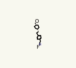 COC[C@H]1CC[C@H](CCc2ccc(C/C=C/F)cc2)CC1